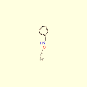 CC(C)CCONCc1ccccc1